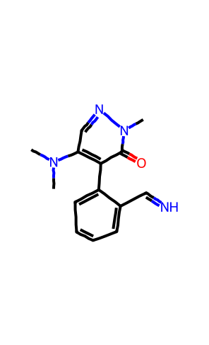 CN(C)c1cnn(C)c(=O)c1-c1ccccc1C=N